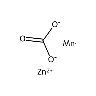 O=C([O-])[O-].[Mn].[Zn+2]